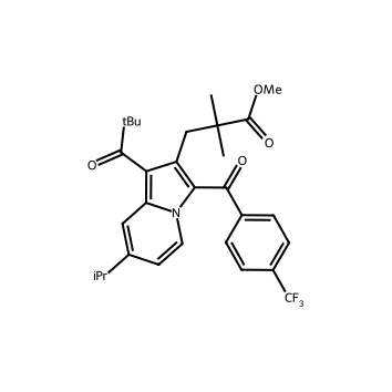 COC(=O)C(C)(C)Cc1c(C(=O)C(C)(C)C)c2cc(C(C)C)ccn2c1C(=O)c1ccc(C(F)(F)F)cc1